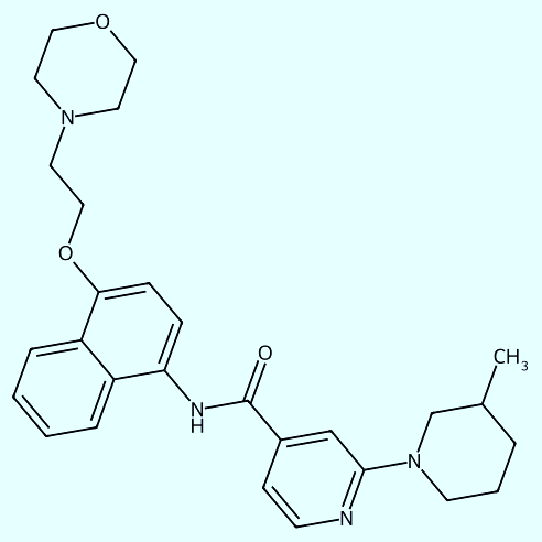 CC1CCCN(c2cc(C(=O)Nc3ccc(OCCN4CCOCC4)c4ccccc34)ccn2)C1